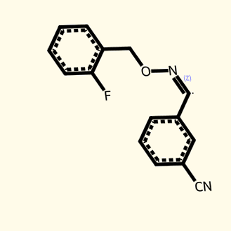 N#Cc1cccc(/[C]=N\OCc2ccccc2F)c1